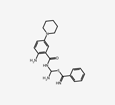 N=C(SC(N)NC(=O)c1cc(N2CCCCC2)ccc1N)c1ccccc1